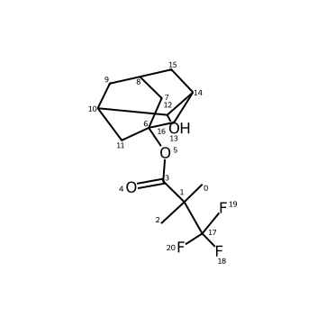 CC(C)(C(=O)OC12CC3CC(C1)C(O)C(C3)C2)C(F)(F)F